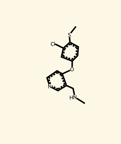 CNCc1cnccc1Oc1ccc(SC)c(Cl)c1